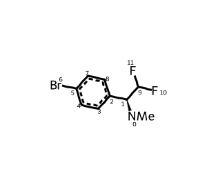 CN[C@@H](c1ccc(Br)cc1)C(F)F